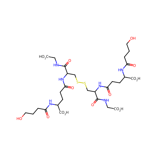 O=C(O)CNC(=O)C(CSSCC(NC(=O)CCC(NC(=O)CCCO)C(=O)O)C(=O)NCC(=O)O)NC(=O)CCC(NC(=O)CCCO)C(=O)O